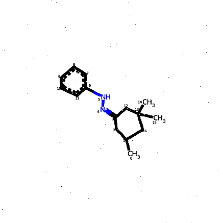 CC1CC(=NNc2ccccc2)CC(C)(C)C1